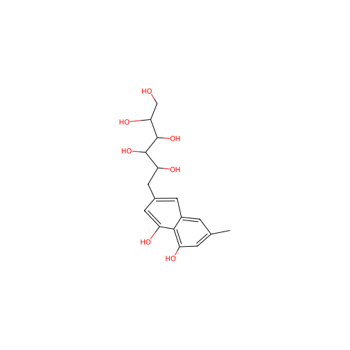 Cc1cc(O)c2c(O)cc(CC(O)C(O)C(O)C(O)CO)cc2c1